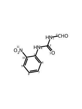 O=CNC(=O)Nc1ccccc1[N+](=O)[O-]